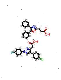 O=C(O)CCc1nc(-c2ccccc2)c(-c2ccccc2)o1.O=C(O)Cc1nn(-c2ccc(F)cc2)cc1-c1ccc(Cl)cc1